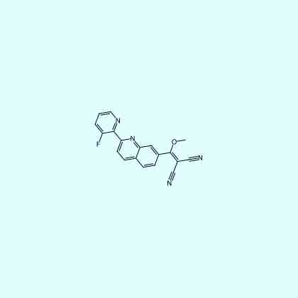 COC(=C(C#N)C#N)c1ccc2ccc(-c3ncccc3F)nc2c1